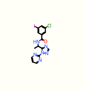 CC(NC(=O)c1cc(Cl)cc(I)c1)c1ncnn1-c1ncccn1